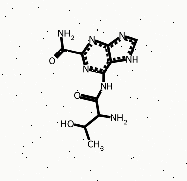 CC(O)C(N)C(=O)Nc1nc(C(N)=O)nc2nc[nH]c12